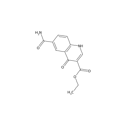 CCOC(=O)c1c[nH]c2ccc(C(N)=O)cc2c1=O